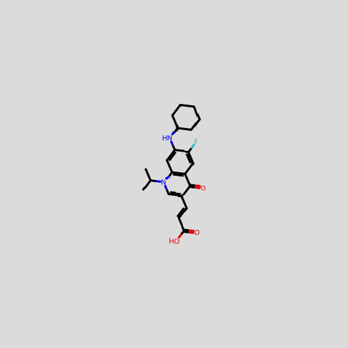 CC(C)n1cc(/C=C/C(=O)O)c(=O)c2cc(F)c(NC3CCCCC3)cc21